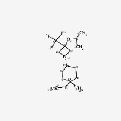 CC(C)OC1(C(F)(F)F)CN([C@H]2CC[C@@](C)(CC#N)CC2)C1